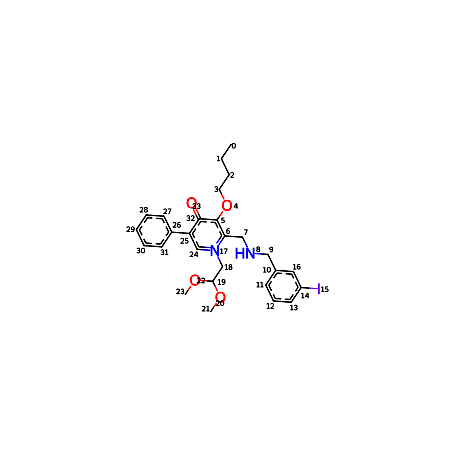 CCCCOc1c(CNCc2cccc(I)c2)n(CC(OC)OC)cc(-c2ccccc2)c1=O